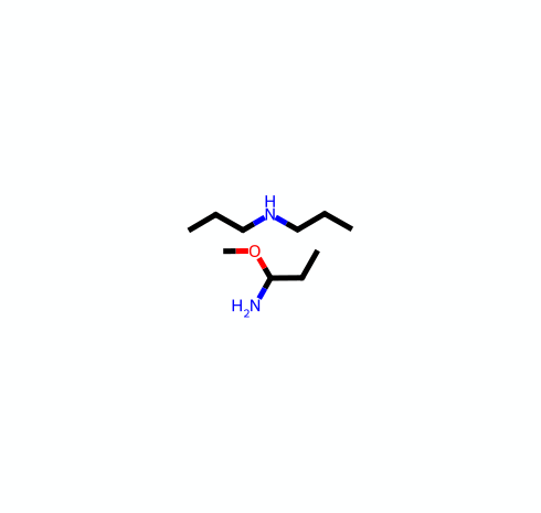 CCC(N)OC.CCCNCCC